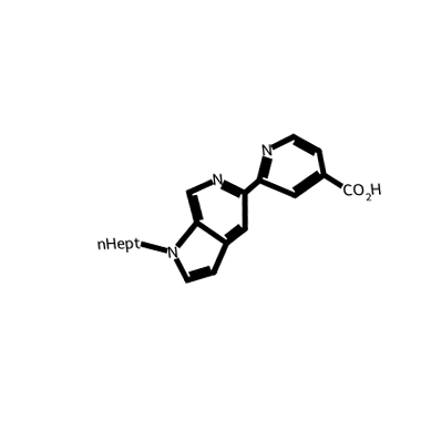 CCCCCCCn1ccc2cc(-c3cc(C(=O)O)ccn3)ncc21